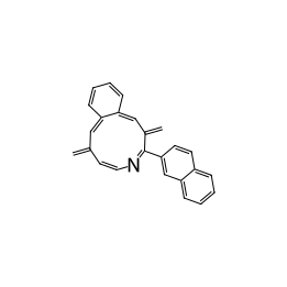 C=c1ccnc(-c2ccc3ccccc3c2)c(=C)cc2ccccc2c1